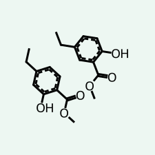 CCc1ccc(C(=O)OC)c(O)c1.CCc1ccc(O)c(C(=O)OC)c1